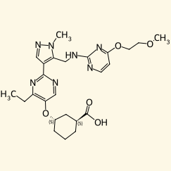 CCc1nc(-c2cnn(C)c2CNc2nccc(OCCOC)n2)ncc1O[C@H]1CCC[C@H](C(=O)O)C1